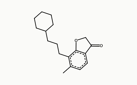 Cc1ccc2c(c1CCCC1CCCCC1)OCC2=O